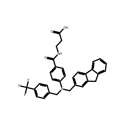 O=C(O)CCNC(=O)c1ccc(N(Cc2ccc(C(F)(F)F)cc2)Cc2ccc3c(c2)Cc2ccccc2-3)cc1